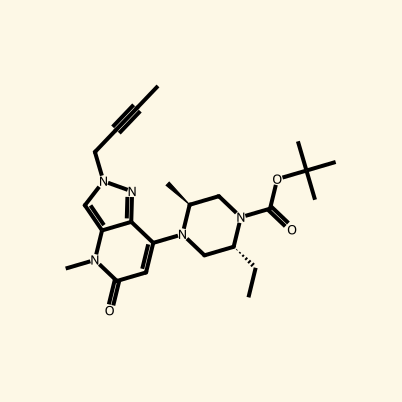 CC#CCn1cc2c(n1)c(N1C[C@@H](CC)N(C(=O)OC(C)(C)C)C[C@@H]1C)cc(=O)n2C